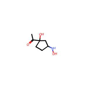 CC(=O)C1(O)CCC(NO)C1